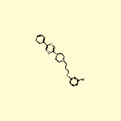 Brc1cccc(SCCCN2CCN(C3=COC(C4=CC=CCC4)=CO3)CC2)c1